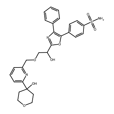 NS(=O)(=O)c1ccc(-c2oc(C(O)COCc3cccc(C4(O)CCOCC4)n3)nc2-c2ccccc2)cc1